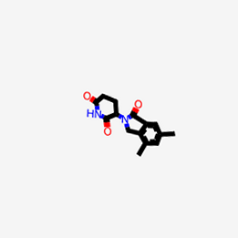 Cc1cc(C)c2c(c1)C(=O)N(C1CCC(=O)NC1=O)C2